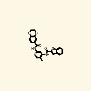 Cc1cnc(NC(=O)c2ccc3c(c2)OCCO3)cc1NC(=O)c1cc2ccccc2s1